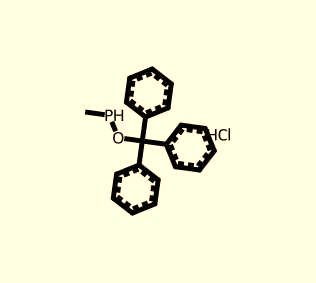 CPOC(c1ccccc1)(c1ccccc1)c1ccccc1.Cl